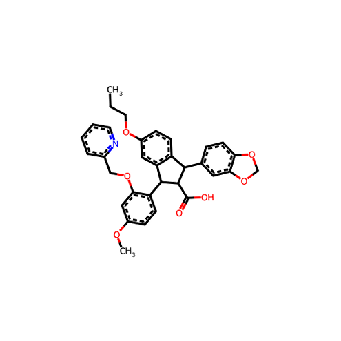 CCCOc1ccc2c(c1)C(c1ccc(OC)cc1OCc1ccccn1)C(C(=O)O)C2c1ccc2c(c1)OCO2